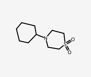 O=S1(=O)CCN(C2CCCCC2)CC1